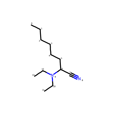 CCCCCCC(C#N)N(CC)CC